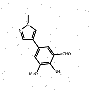 COc1cc(-c2cnn(C)c2)cc(C=O)c1N